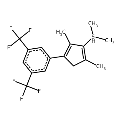 CC1=C([SiH](C)C)C(C)=C(c2cc(C(F)(F)F)cc(C(F)(F)F)c2)C1